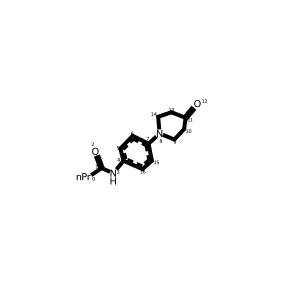 CCCC(=O)Nc1ccc(N2CCC(=O)CC2)cc1